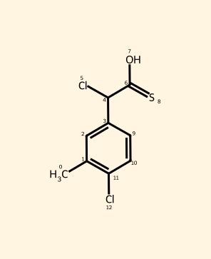 Cc1cc(C(Cl)C(O)=S)ccc1Cl